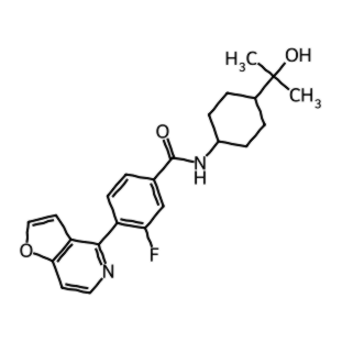 CC(C)(O)C1CCC(NC(=O)c2ccc(-c3nccc4occc34)c(F)c2)CC1